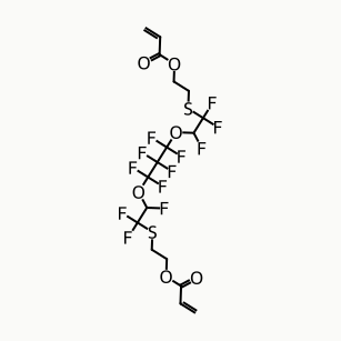 C=CC(=O)OCCSC(F)(F)C(F)OC(F)(F)C(F)(F)C(F)(F)OC(F)C(F)(F)SCCOC(=O)C=C